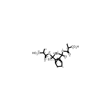 CCC(CC)(OC(=O)C(C)C(=O)O)C1C2CCC(C2)C1C(CC)(CC)OC(=O)C(C)C(=O)O